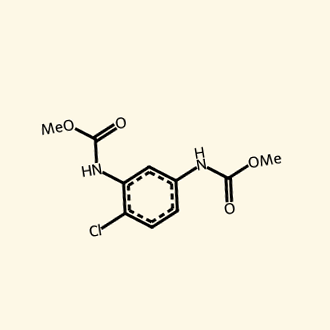 COC(=O)Nc1ccc(Cl)c(NC(=O)OC)c1